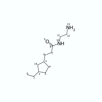 CCC1CCC(CCC(=O)NCCN)C1